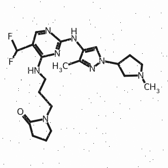 Cc1nn(C2CCN(C)C2)cc1Nc1ncc(C(F)F)c(NCCCN2CCCC2=O)n1